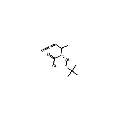 CC(C=C=O)[C@H](NOC(C)(C)C)C(=O)O